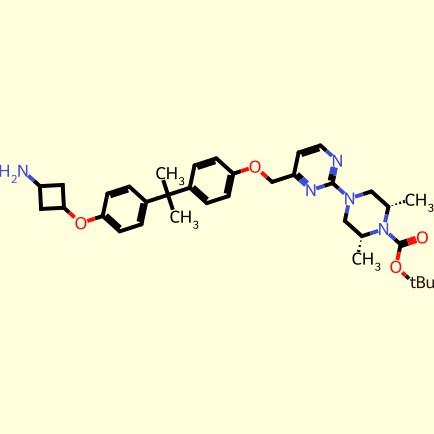 C[C@@H]1CN(c2nccc(COc3ccc(C(C)(C)c4ccc(OC5CC(N)C5)cc4)cc3)n2)C[C@H](C)N1C(=O)OC(C)(C)C